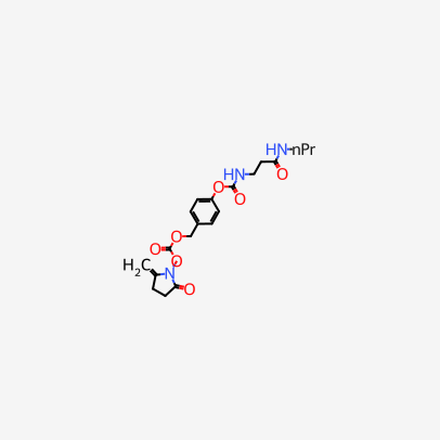 C=C1CCC(=O)N1OC(=O)OCc1ccc(OC(=O)NCCC(=O)NCCC)cc1